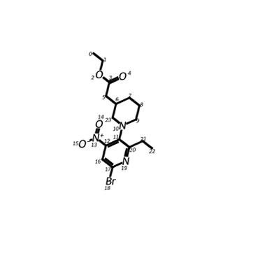 CCOC(=O)CC1CCCN(c2c([N+](=O)[O-])cc(Br)nc2CC)C1